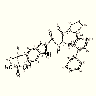 CC(C)(C)C(NC(=O)c1cc2cc(C(F)(F)P(=O)(O)O)ccc2[nH]1)C(=O)N1CCC[C@H]1c1ncc(-c2ccccc2)[nH]1